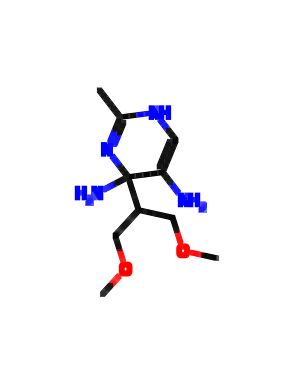 COCC(COC)C1(N)N=C(C)NC=C1N